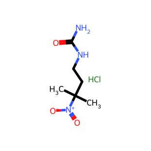 CC(C)(CCNC(N)=O)[N+](=O)[O-].Cl